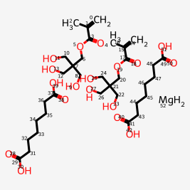 C=C(C)C(=O)OCC(CO)(CO)CO.C=C(C)C(=O)OCC(CO)(CO)CO.O=C(O)CCCCCCC(=O)O.O=C(O)CCCCCCC(=O)O.[MgH2]